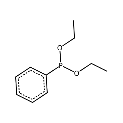 CCOP(OCC)c1ccccc1